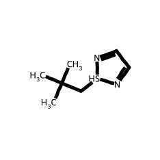 CC(C)(C)C[SH]1N=CC=N1